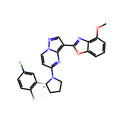 COc1cccc2oc(-c3cnn4ccc(N5CCC[C@@H]5c5cc(F)ccc5F)nc34)nc12